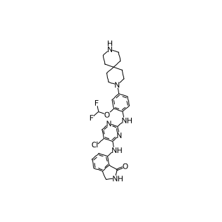 O=C1NCc2cccc(Nc3nc(Nc4ccc(N5CCC6(CCNCC6)CC5)cc4OC(F)F)ncc3Cl)c21